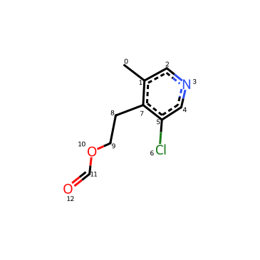 Cc1cncc(Cl)c1CCOC=O